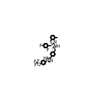 Cc1cccc(C)c1/N=C(/N/N=C/c1ccc(C2N=CN(c3ccc(OC(F)(F)F)cc3)N2)cc1)SCc1ccc(F)cc1F